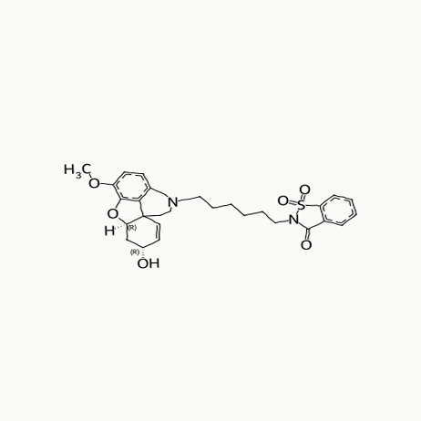 COc1ccc2c3c1O[C@@H]1C[C@@H](O)C=CC31CCN(CCCCCCN1C(=O)c3ccccc3S1(=O)=O)C2